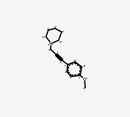 COc1ccc(C#CCN2CCCCC2)cc1